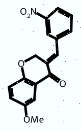 COc1ccc2c(c1)C(=O)C(=Cc1cccc([N+](=O)[O-])c1)CO2